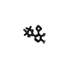 CC1(C)OB(c2ccc(F)c(F)c2C2CCC2)OC1(C)C